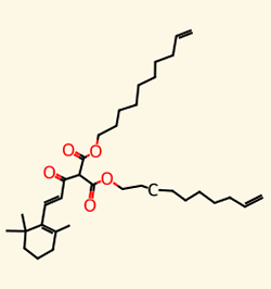 C=CCCCCCCCCOC(=O)C(C(=O)C=CC1=C(C)CCCC1(C)C)C(=O)OCCCCCCCCC=C